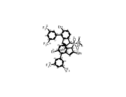 CCCC1=Cc2c(ccc(CC)c2-c2cc(C(F)(F)F)cc(C(F)(F)F)c2)[CH]1[Zr]([Cl])([Cl])([CH]1C(CCC)=Cc2c1ccc(CC)c2-c1cc(C(F)(F)F)cc(C(F)(F)F)c1)[SiH](C)C